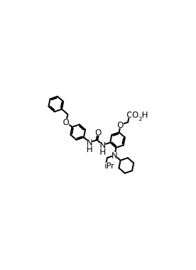 CC(C)CN(c1ccc(OCC(=O)O)cc1NC(=O)Nc1ccc(OCc2ccccc2)cc1)C1CCCCC1